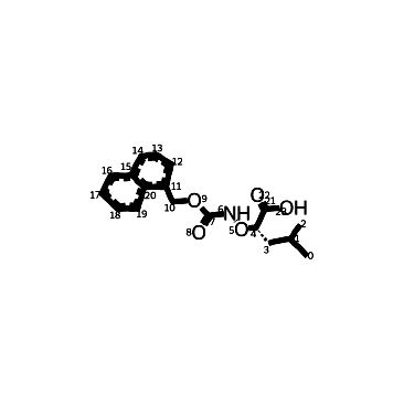 CC(C)C[C@H](ONC(=O)OCc1cccc2ccccc12)C(=O)O